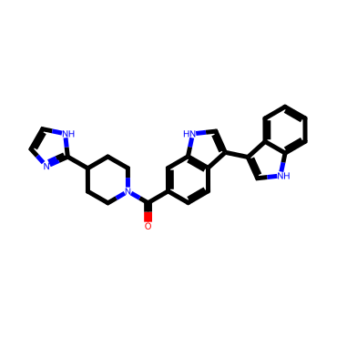 O=C(c1ccc2c(-c3c[nH]c4ccccc34)c[nH]c2c1)N1CCC(c2ncc[nH]2)CC1